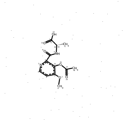 COc1ccnc(C(=O)N[C@@H](C)C(=O)O)c1OC(C)=O